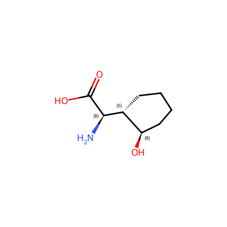 N[C@@H](C(=O)O)[C@@H]1CCCC[C@H]1O